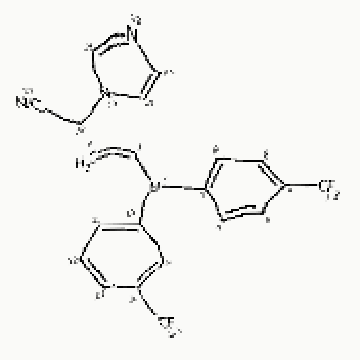 C=CB(c1ccc(C(F)(F)F)cc1)c1cccc(C(F)(F)F)c1.N#CCn1ccnc1